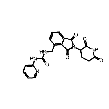 O=C1CCC(N2C(=O)c3cccc(CNC(=O)Nc4ccccn4)c3C2=O)C(=O)N1